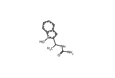 CC(NC(N)=O)c1cc2ccccc2n1O